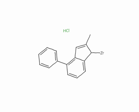 CC1=Cc2c(-c3ccccc3)cccc2[CH]1[Zr].Cl